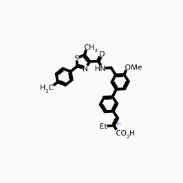 CC/C(=C\c1cccc(-c2ccc(OC)c(CNC(=O)c3nc(-c4ccc(C)cc4)sc3C)c2)c1)C(=O)O